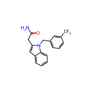 NC(=O)Cc1cc2ccccc2n1Cc1cccc(C(F)(F)F)c1